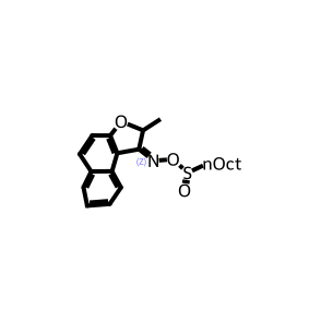 CCCCCCCCS(=O)O/N=C1/c2c(ccc3ccccc23)OC1C